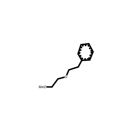 COCCOC[CH]c1ccccc1